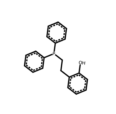 Oc1ccccc1CCP(c1ccccc1)c1ccccc1